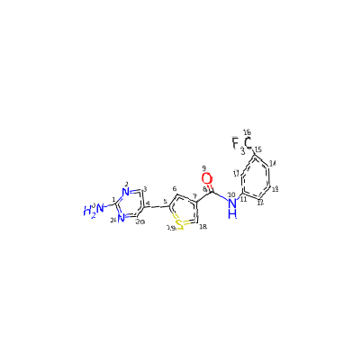 Nc1ncc(-c2cc(C(=O)Nc3cccc(C(F)(F)F)c3)cs2)cn1